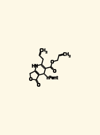 C=CCOC(=O)C1=C(CC=C)NC2=C(C(=O)OC2)C1CCCCC